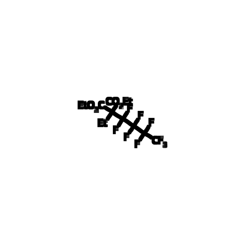 CCOC(=O)C(CC)(C(=O)OCC)C(F)(F)C(F)(F)C(F)(F)C(F)(F)F